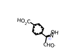 O=[C]/C(=N/O)c1ccc(C(=O)O)cc1